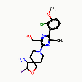 Cc1nc(N2CCC3(CC2)CO[C@@H](I)[C@H]3N)c(CO)nc1-c1cccc(OC(F)(F)F)c1Cl